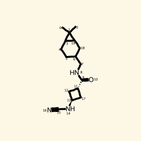 CC1(C)C2CCC(CNC(=O)[C@H]3C[C@H](NC#N)C3)CC21